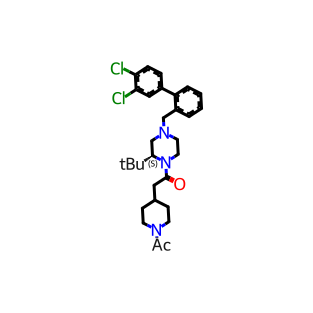 CC(=O)N1CCC(CC(=O)N2CCN(Cc3ccccc3-c3ccc(Cl)c(Cl)c3)C[C@@H]2C(C)(C)C)CC1